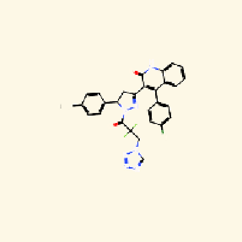 Cc1ccc(C2CC(c3c(-c4ccc(Cl)cc4)c4ccccc4[nH]c3=O)=NN2C(=O)C(F)(F)Cn2cnnn2)cc1